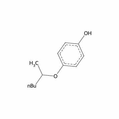 CCCCC(C)Oc1ccc(O)cc1